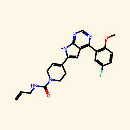 C=CCNC(=O)N1CC=C(c2cc3c(-c4cc(F)ccc4OC)ncnc3[nH]2)CC1